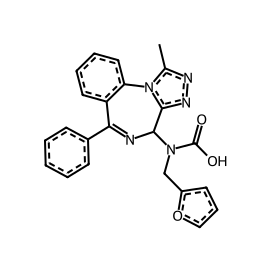 Cc1nnc2n1-c1ccccc1C(c1ccccc1)=NC2N(Cc1ccco1)C(=O)O